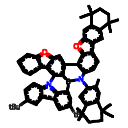 Cc1cc2c(cc1N1B3c4c(cc5oc6ccccc6c5c4-n4c5ccc(C(C)(C)C)cc5c5cc(C(C)(C)C)cc3c54)-c3c1ccc1c3oc3cc4c(cc31)C(C)(C)CCC4(C)C)C(C)(C)CCC2(C)C